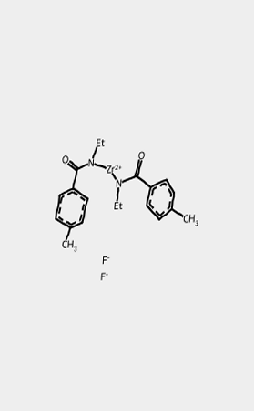 CC[N]([Zr+2][N](CC)C(=O)c1ccc(C)cc1)C(=O)c1ccc(C)cc1.[F-].[F-]